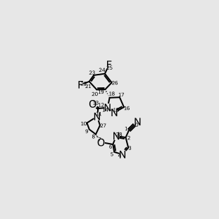 N#Cc1cncc(O[C@@H]2CCN(C(=O)N3N=CC[C@H]3c3cc(F)cc(F)c3)C2)n1